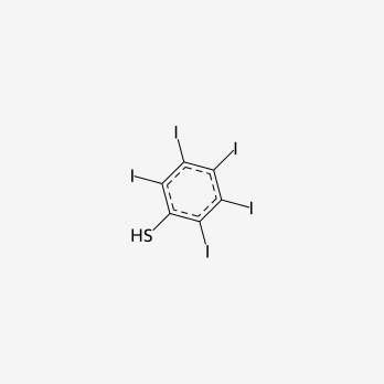 Sc1c(I)c(I)c(I)c(I)c1I